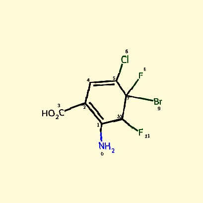 NC1=C(C(=O)O)C=C(Cl)C(F)(Br)C1F